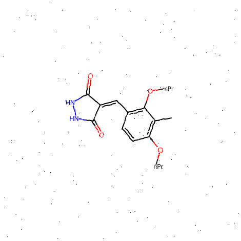 CCCOc1ccc(C=C2C(=O)NNC2=O)c(OCCC)c1C